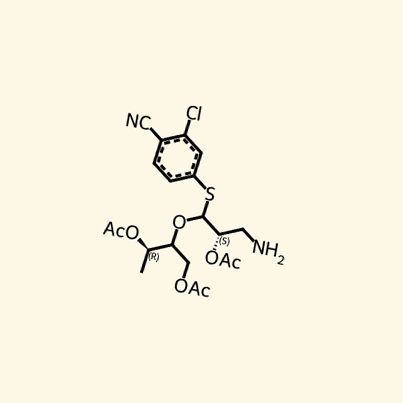 CC(=O)OCC(OC(Sc1ccc(C#N)c(Cl)c1)[C@H](CN)OC(C)=O)[C@@H](C)OC(C)=O